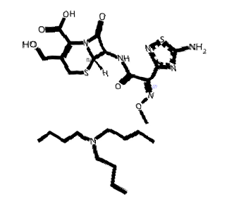 CCCCN(CCCC)CCCC.CO/N=C(\C(=O)NC1C(=O)N2C(C(=O)O)=C(CO)CS[C@@H]12)c1nsc(N)n1